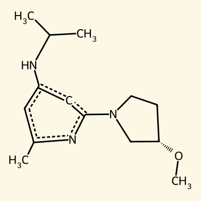 CO[C@H]1CCN(c2cc(NC(C)C)cc(C)n2)C1